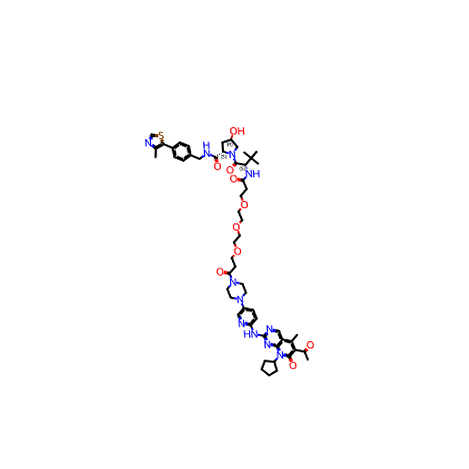 CC(=O)c1c(C)c2cnc(Nc3ccc(N4CCN(C(=O)CCOCCOCCOCCC(=O)N[C@H](C(=O)N5C[C@H](O)C[C@H]5C(=O)NCc5ccc(-c6scnc6C)cc5)C(C)(C)C)CC4)cn3)nc2n(C2CCCC2)c1=O